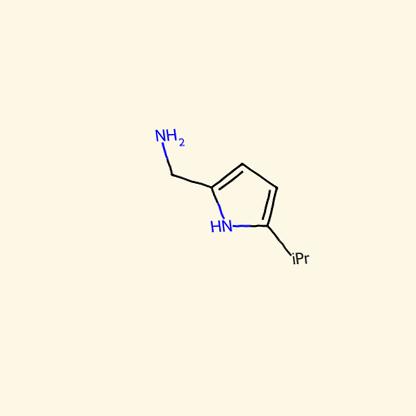 CC(C)c1ccc(CN)[nH]1